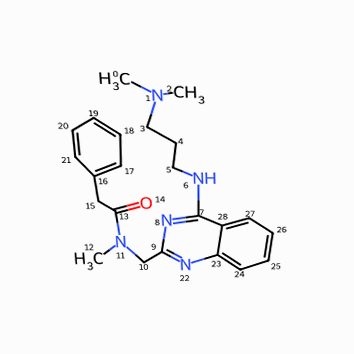 CN(C)CCCNc1nc(CN(C)C(=O)Cc2ccccc2)nc2ccccc12